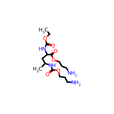 CCOC(=O)NC(CC(C)NC(=O)OCCCN)C(=O)OCCCN